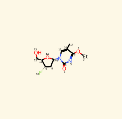 CCOc1nc(=O)n([C@H]2C[C@H](F)[C@@H](CO)O2)cc1C